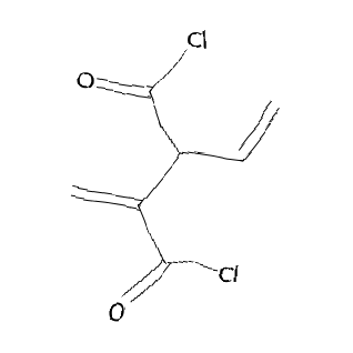 C=CC(C(=C)C(=O)Cl)C(=O)Cl